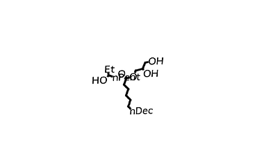 CCCCCC(O)CC.CCCCCCCCCCCCCCCC(=O)OCC(O)CO